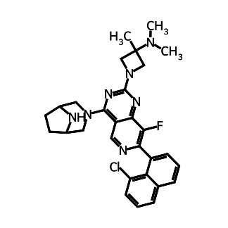 CN(C)C1(C)CN(c2nc(N3CC4CCC(C3)N4)c3cnc(-c4cccc5cccc(Cl)c45)c(F)c3n2)C1